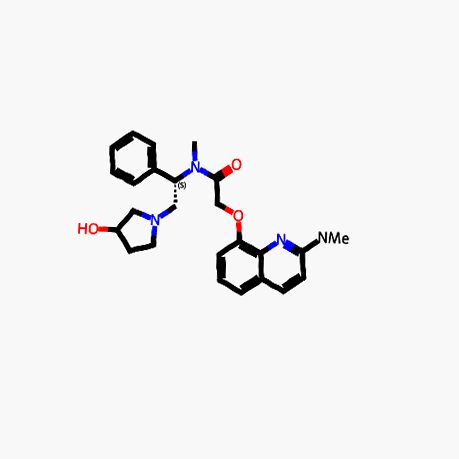 CNc1ccc2cccc(OCC(=O)N(C)[C@H](CN3CCC(O)C3)c3ccccc3)c2n1